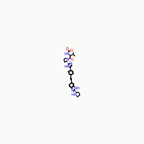 COC(=O)N[C@H](C(=O)N1CCC[C@H]1c1ncc(-c2ccc(C#Cc3ccc4nc([C@@H]5CCCN5)[nH]c4c3)cc2)[nH]1)C(C)C